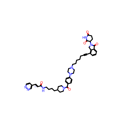 O=C(/C=C/c1ccnnc1)NCCCCC1CCN(C(=O)c2ccc(N3CCN(CCCCCC#Cc4cccc5c4CN(C4CCC(=O)NC4=O)C5=O)CC3)cc2)CC1